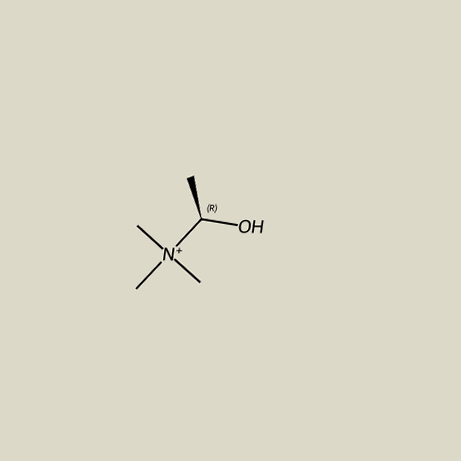 C[C@@H](O)[N+](C)(C)C